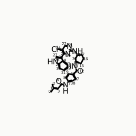 CC(C)=CC(=O)Nc1ccc(C(=O)N[C@H]2CCC[C@@H](Nc3ncc(Cl)c(-c4c[nH]c5ccccc45)n3)C2)cc1